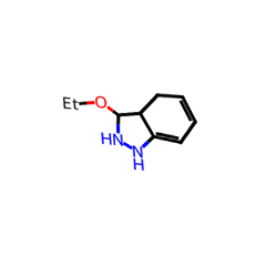 CCOC1NNC2=CC=CCC21